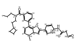 CCCN(CCC1CCC1)C(=O)c1cccc(C2=C3OC(C4=CNC(NC(=O)CN=O)C=C4)=CC3N(C)C=C2)c1